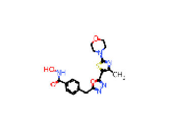 Cc1nc(N2CCOCC2)sc1-c1nnc(Cc2ccc(C(=O)NO)cc2)o1